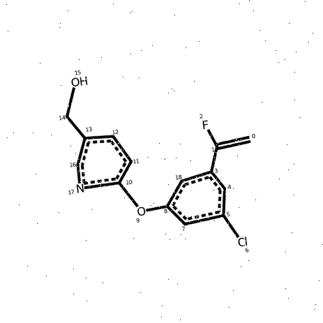 C=C(F)c1cc(Cl)cc(Oc2ccc(CO)cn2)c1